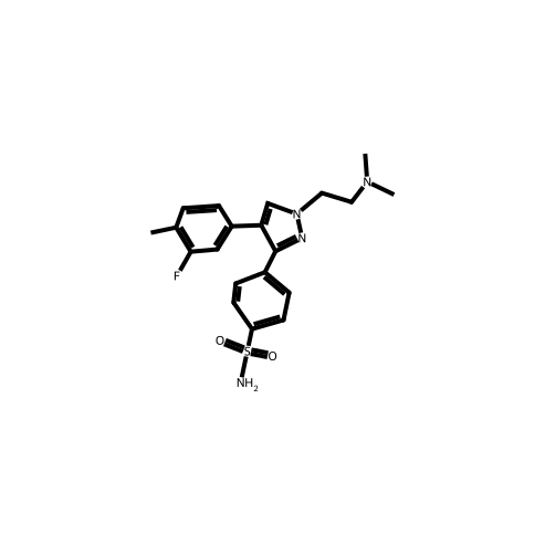 Cc1ccc(-c2cn(CCN(C)C)nc2-c2ccc(S(N)(=O)=O)cc2)cc1F